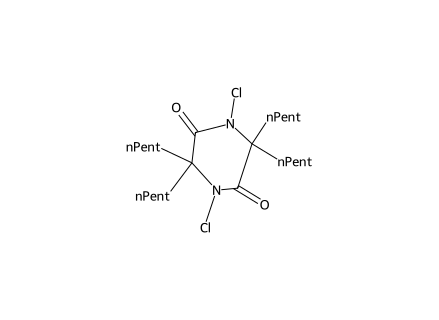 CCCCCC1(CCCCC)C(=O)N(Cl)C(CCCCC)(CCCCC)C(=O)N1Cl